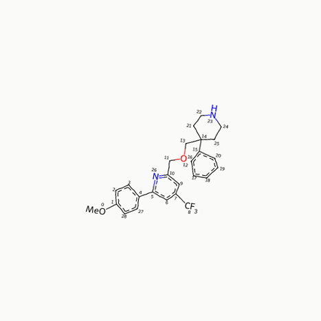 COc1ccc(-c2cc(C(F)(F)F)cc(COCC3(c4ccccc4)CCNCC3)n2)cc1